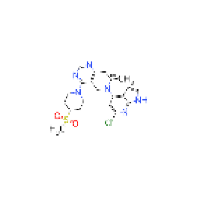 C[C@@H]1Cc2ncnc(N3CCC(S(C)(=O)=O)CC3)c2CN1c1cc(Cl)nc2[nH]ccc12